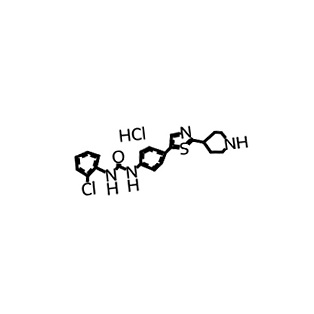 Cl.O=C(Nc1ccc(-c2cnc(C3CCNCC3)s2)cc1)Nc1ccccc1Cl